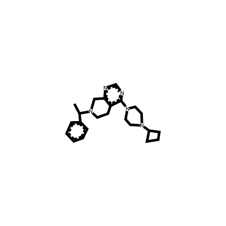 CC(c1ccccc1)N1CCc2c(ncnc2N2CCN(C3CCC3)CC2)C1